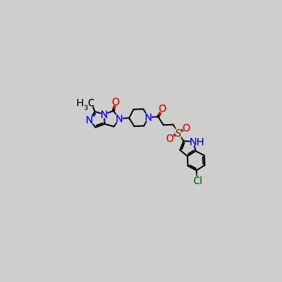 Cc1ncc2n1C(=O)N(C1CCN(C(=O)CCS(=O)(=O)c3cc4cc(Cl)ccc4[nH]3)CC1)C2